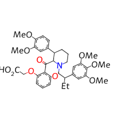 CCC(C(=O)N1CCCC(c2ccc(OC)c(OC)c2)C1C(=O)c1ccccc1OCC(=O)O)c1cc(OC)c(OC)c(OC)c1